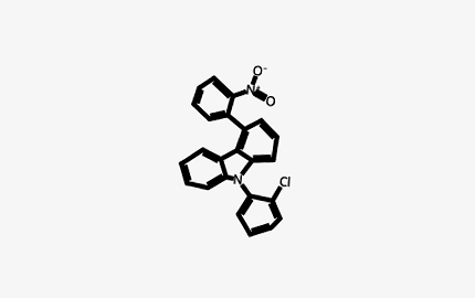 O=[N+]([O-])c1ccccc1-c1cccc2c1c1ccccc1n2-c1ccccc1Cl